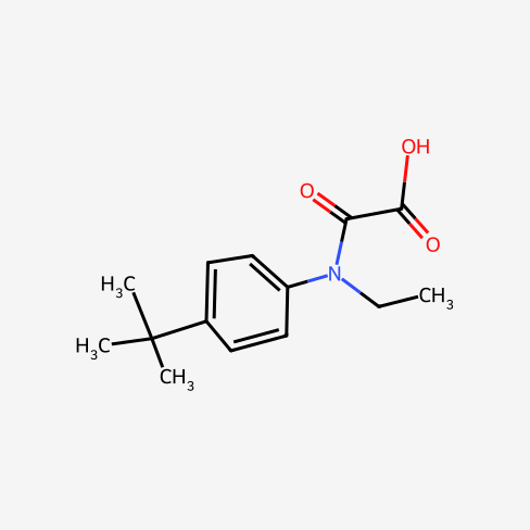 CCN(C(=O)C(=O)O)c1ccc(C(C)(C)C)cc1